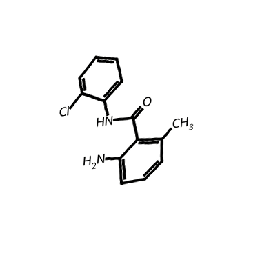 Cc1cccc(N)c1C(=O)Nc1ccccc1Cl